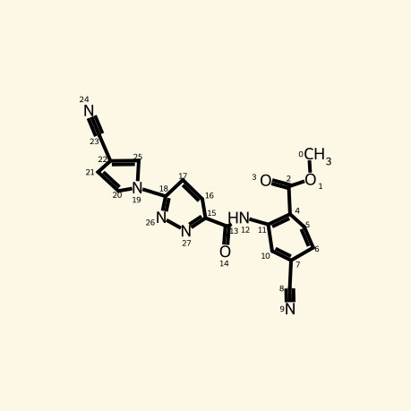 COC(=O)c1ccc(C#N)cc1NC(=O)c1ccc(-n2ccc(C#N)c2)nn1